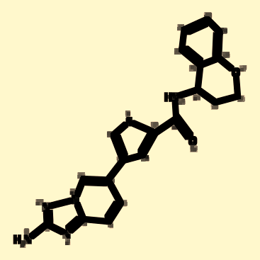 Nc1nc2ccc(-c3csc(C(=O)NC4CCOc5ccccc54)c3)cn2n1